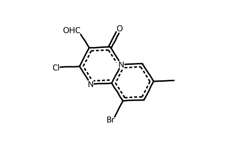 Cc1cc(Br)c2nc(Cl)c(C=O)c(=O)n2c1